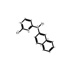 CCc1nccc(N(C(C)=O)c2ccc3ccccc3c2)n1